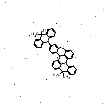 CC1(C)c2ccccc2N(c2ccc3c(=O)c4c(N5c6ccccc6C(C)(C)c6ccccc65)cccc4oc3c2)c2ccccc21